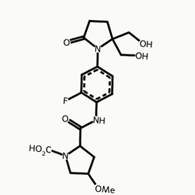 COC1CC(C(=O)Nc2ccc(N3C(=O)CCC3(CO)CO)cc2F)N(C(=O)O)C1